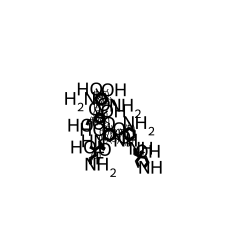 NC[C@@H]1O[C@H](O[C@H]2[C@@H](O)[C@H](O[C@@H]3[C@@H](O)[C@H](NC(=O)C(O)[C@@H](F)CN)C[C@H](N)[C@H]3O[C@H]3O[C@H](CNCC4(O)CCNCC4)CC[C@H]3N)O[C@@H]2CO)[C@H](N)[C@@H](O)[C@@H]1O